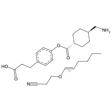 CCCC/C=C/OCCC#N.NC[C@H]1CC[C@H](C(=O)Oc2ccc(CCC(=O)O)cc2)CC1